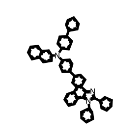 c1ccc(-c2ccc(N(c3ccc(-c4ccc5c(c4)c4ccccc4c4c5nc(-c5ccccc5)n4-c4ccccc4)cc3)c3ccc4ccccc4c3)cc2)cc1